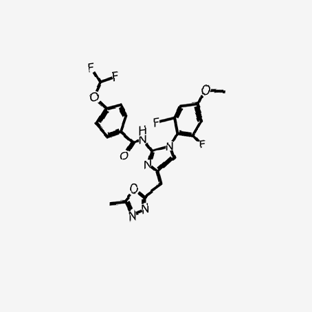 COc1cc(F)c(-n2cc(Cc3nnc(C)o3)nc2NC(=O)c2ccc(OC(F)F)cc2)c(F)c1